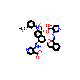 Cc1cccc(N(C)c2ccc3c(c2)CCC[C@H]3CNc2cnccc2C(=O)O)c1.O=C(O)c1ccncc1NCC1OCCc2ccccc21